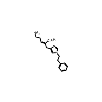 NCC/C=C(/Cc1cn(CCc2ccccc2)cn1)C(=O)O